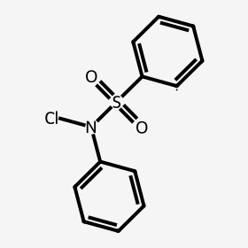 O=S(=O)(c1[c]cccc1)N(Cl)c1ccccc1